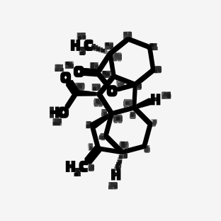 C=C1C[C@]23C[C@H]1CC[C@H]2C12CCC[C@](C)(C(=O)O1)C2[C@@H]3C(=O)O